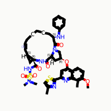 COc1ccc2c(O[C@@H]3C[C@H]4C(=O)N[C@]5(C(=O)NS(=O)(=O)N(C)C)C[C@H]5/C=C\CCCCC[C@H](Nc5ccccc5)C(=O)N4C3)cc(-c3nc(C)cs3)nc2c1C